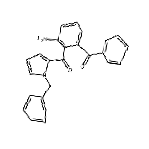 Nc1cccc(C(=O)c2ccccc2)c1C(=O)c1cccn1Cc1ccccc1